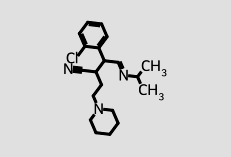 CC(C)N=CC(c1ccccc1Cl)C(C#N)CCN1CCCCC1